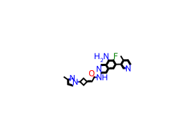 Cc1ccn(C2CC(=CC(=O)Nc3cc4cc(-c5cnccc5C)c(F)c(N)c4cn3)C2)n1